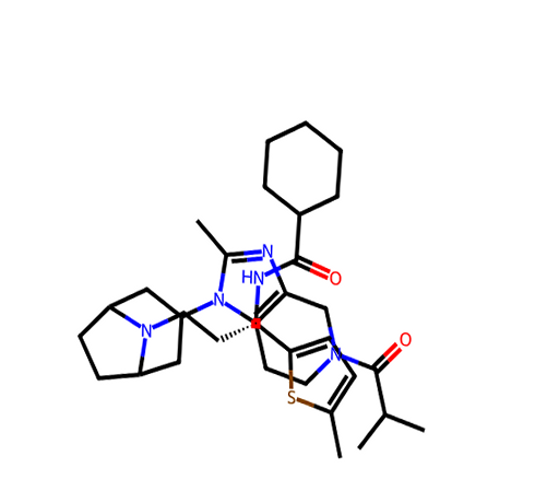 Cc1ccc([C@H](CCN2C3CCC2CC(n2c(C)nc4c2CCN(C(=O)C(C)C)C4)C3)NC(=O)C2CCCCC2)s1